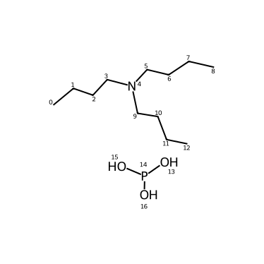 CCCCN(CCCC)CCCC.OP(O)O